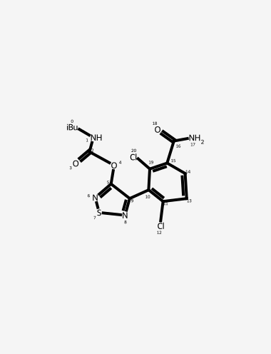 CCC(C)NC(=O)Oc1nsnc1-c1c(Cl)ccc(C(N)=O)c1Cl